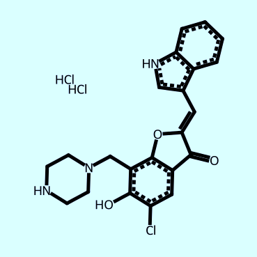 Cl.Cl.O=C1/C(=C/c2c[nH]c3ccccc23)Oc2c1cc(Cl)c(O)c2CN1CCNCC1